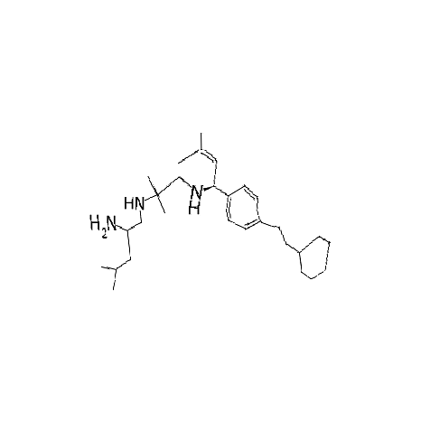 CC(C)=C[C@H](NCC(C)(C)NCC(N)CC(C)C)c1ccc(CCC2CCCCC2)cc1